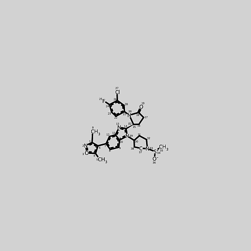 Cc1noc(C)c1-c1ccc2c(c1)nc([C@@H]1CCC(=O)N1c1ccc(F)c(Cl)c1)n2C1CCN([S+](C)[O-])CC1